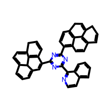 C1=CC2=CC=C3CC=CC4=C3C2C(=C1)C=C4c1nc(-c2nccc3ccccc23)nc(-c2ccc3c4c5c(ccc24)C=CCC5=CC3)n1